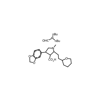 CCCCN(C=O)CCCC.CN1CC(c2ccc3c(c2)OCO3)C(C(=O)O)C1CCC1CCCCO1